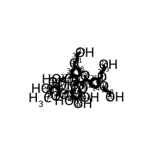 C[C@@H]1O[C@@H](OC[C@H]2O[C@@H](Oc3c(-c4ccc(OCCO)c(OCCO)c4)oc4cc(OCCO)cc(OCCO)c4c3=O)[C@H](O)[C@@H](O)[C@@H]2O)[C@H](O)[C@H](O)[C@H]1O